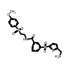 COc1ccc(S(=O)(=O)CCNC(=O)c2cccc(S(=O)(=O)c3ccc(CN)s3)c2)cc1